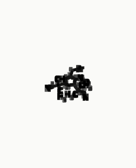 CC(C)(C#N)c1cc(CBr)c(N=O)c(C(C)(C)C#N)c1